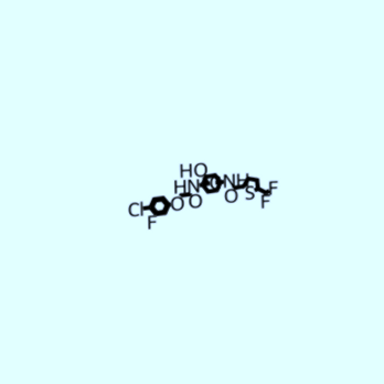 O=C(COc1ccc(Cl)c(F)c1)NC12CCC(NC(=O)C3CCC(C(F)F)S3)(CC1)CC2O